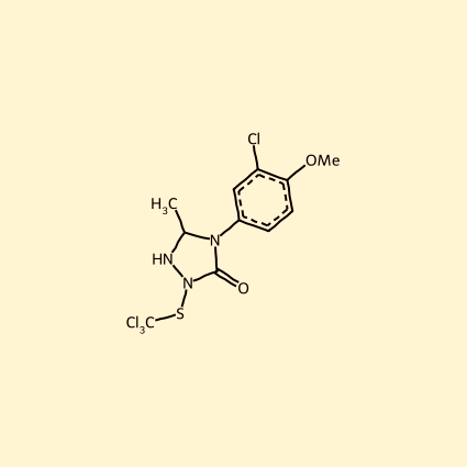 COc1ccc(N2C(=O)N(SC(Cl)(Cl)Cl)NC2C)cc1Cl